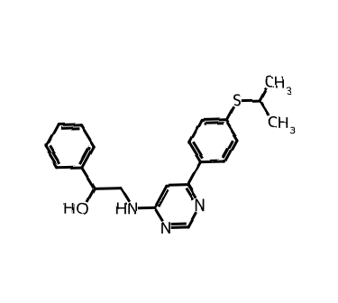 CC(C)Sc1ccc(-c2cc(NCC(O)c3ccccc3)ncn2)cc1